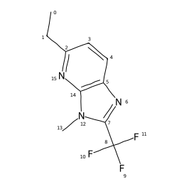 CCc1ccc2nc(C(F)(F)F)n(C)c2n1